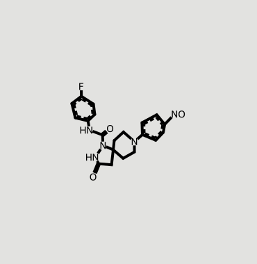 O=Nc1ccc(N2CCC3(CC2)CC(=O)NN3C(=O)Nc2ccc(F)cc2)cc1